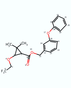 CC1(C)C(OCC(F)(F)F)C1C(=O)OCc1cccc(Oc2ccccc2)c1